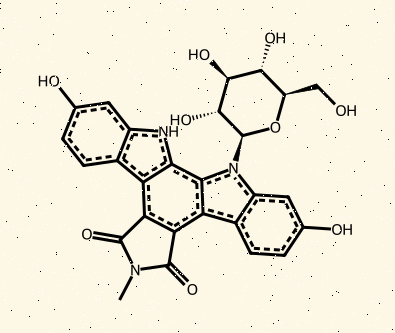 CN1C(=O)c2c(c3c4ccc(O)cc4n([C@@H]4O[C@H](CO)[C@@H](O)[C@H](O)[C@H]4O)c3c3[nH]c4cc(O)ccc4c23)C1=O